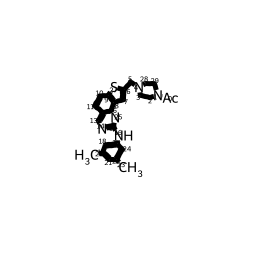 CC(=O)N1CCN(Cc2cc3c(ccc4cnc(Nc5cc(C)cc(C)c5)nc43)s2)CC1